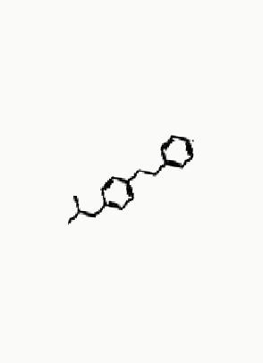 CC(C)Cc1ccc(CCc2cc[c]cc2)cc1